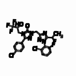 CC(F)c1nc(Cn2nc(-c3ccc(Cl)cc3)n(CC(O)C(F)(F)F)c2=O)nn1-c1c(F)cccc1Cl